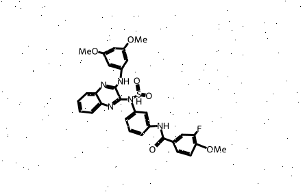 COc1cc(Nc2nc3ccccc3nc2N(c2cccc(NC(=O)c3ccc(OC)c(F)c3)c2)[SH](=O)=O)cc(OC)c1